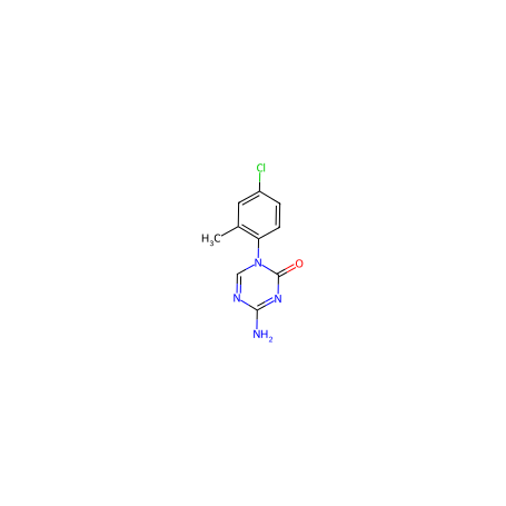 Cc1cc(Cl)ccc1-n1cnc(N)nc1=O